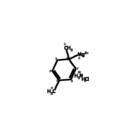 CC1=CC[C](C)([Mg+2])C=C1.Cl.N